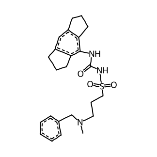 CN(CCCS(=O)(=O)NC(=O)Nc1c2c(cc3c1CCC3)CCC2)Cc1ccccc1